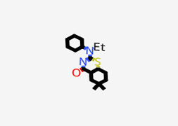 CCN(C1=NC(=O)C2CC(C)(C)CCC2S1)C1CCCCC1